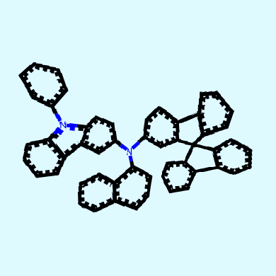 c1ccc(-n2c3ccccc3c3cc(N(c4ccc5c(c4)C4(c6ccccc6-c6ccccc64)c4ccccc4-5)c4cccc5ccccc45)ccc32)cc1